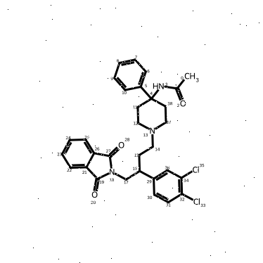 CC(=O)NC1(c2ccccc2)CCN(CCC(CN2C(=O)c3ccccc3C2=O)c2ccc(Cl)c(Cl)c2)CC1